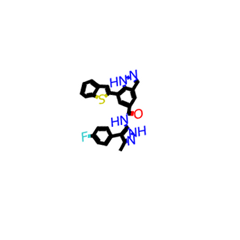 Cc1n[nH]c(NC(=O)c2cc(-c3cc4ccccc4s3)c3[nH]ncc3c2)c1-c1ccc(F)cc1